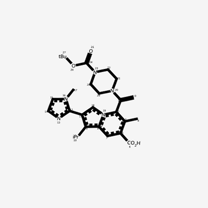 C=C(c1c(C)c(C(=O)O)cc2c(C(C)C)c(-c3nccn3C)cn12)N1CCN(C(=O)OC(C)(C)C)CC1